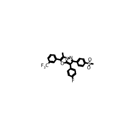 Cc1c(-c2cccc(C(F)(F)F)c2)oc2c(-c3ccc(F)cc3)c(-c3ccc(S(C)(=O)=O)cc3)nn12